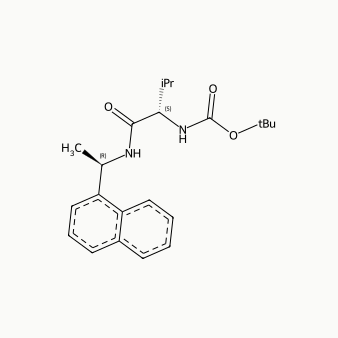 CC(C)[C@H](NC(=O)OC(C)(C)C)C(=O)N[C@H](C)c1cccc2ccccc12